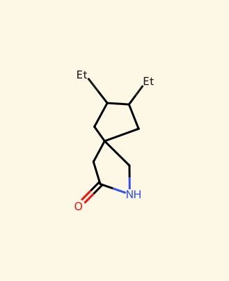 CCC1CC2(CNC(=O)C2)CC1CC